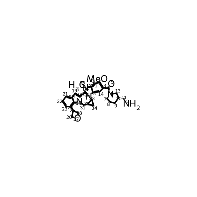 COc1cc(C(=O)N2CCC[C@@H](CN)C2)cc2nc(-c3cc4cccc(C5COC5)c4n3CC3CC3)n(C)c12